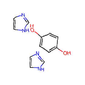 Oc1ccc(O)cc1.c1c[nH]cn1.c1c[nH]cn1